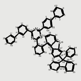 c1ccc(-c2ccc(-c3nc(-c4cccc(-c5ccccc5)c4)nc(-c4ccccc4-c4cccc5sc6cc(C7(c8ccccc8)c8ccccc8-c8ccccc87)ccc6c45)n3)cc2)cc1